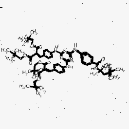 CC(C)(C)COC(=O)C(=Cc1ccc(Nc2nc(Nc3ccc(C=C(C(=O)OCC(C)(C)C)C(=O)OCC(C)(C)C)cc3)nc(Nc3ccc(C(=O)NC(C)(C)CC(C)(C)C)cc3)n2)cc1)C(=O)OCC(C)(C)C